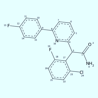 NC(=O)C(c1cccc(-c2ccc(F)cc2)n1)c1c(F)cccc1Cl